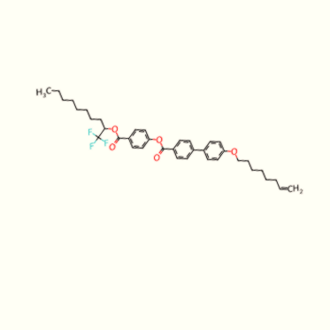 C=CCCCCCCOc1ccc(-c2ccc(C(=O)Oc3ccc(C(=O)OC(CCCCCCCC)C(F)(F)F)cc3)cc2)cc1